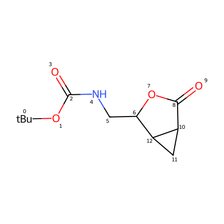 CC(C)(C)OC(=O)NCC1OC(=O)C2CC12